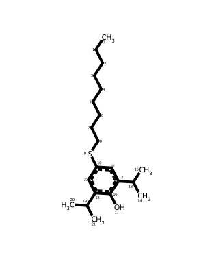 CCCCCCCCCSc1cc(C(C)C)c(O)c(C(C)C)c1